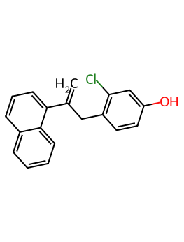 C=C(Cc1ccc(O)cc1Cl)c1cccc2ccccc12